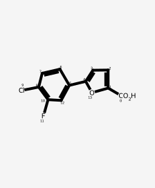 O=C(O)c1ccc(-c2ccc(Cl)c(F)c2)o1